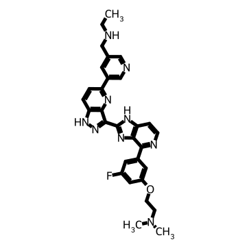 CCNCc1cncc(-c2ccc3[nH]nc(-c4nc5c(-c6cc(F)cc(OCCN(C)C)c6)nccc5[nH]4)c3n2)c1